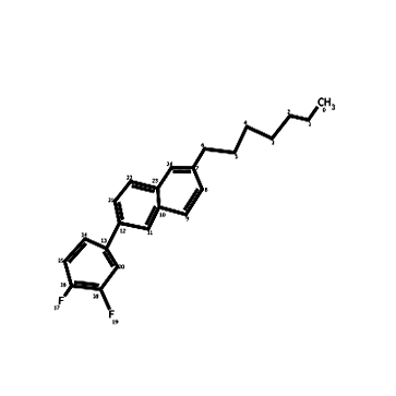 CCCCCCCc1ccc2cc(-c3ccc(F)c(F)c3)ccc2c1